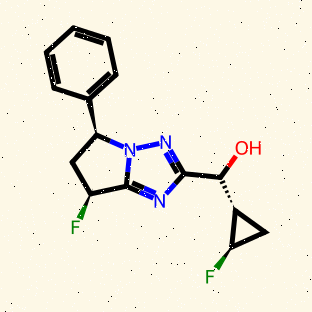 OC(c1nc2n(n1)[C@H](c1ccccc1)C[C@@H]2F)[C@@H]1C[C@H]1F